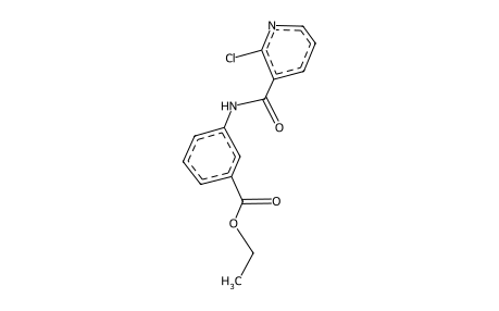 CCOC(=O)c1cccc(NC(=O)c2cccnc2Cl)c1